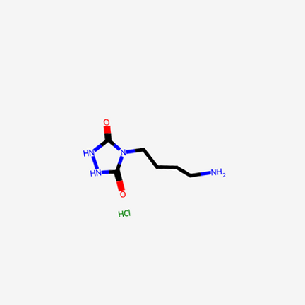 Cl.NCCCCn1c(=O)[nH][nH]c1=O